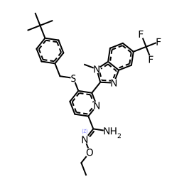 CCO/N=C(\N)c1ccc(SCc2ccc(C(C)(C)C)cc2)c(-c2nc3cc(C(F)(F)F)ccc3n2C)n1